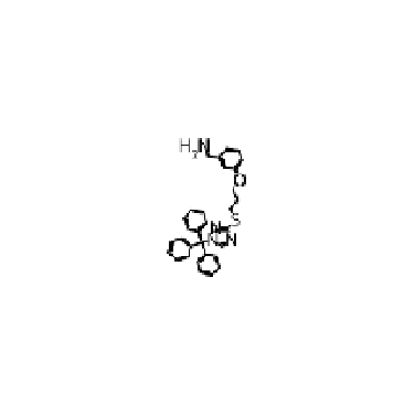 NCc1cccc(OCCCSc2ncn(C(c3ccccc3)(c3ccccc3)c3ccccc3)n2)c1